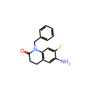 Nc1cc2c(cc1F)N(Cc1ccccc1)C(=O)CC2